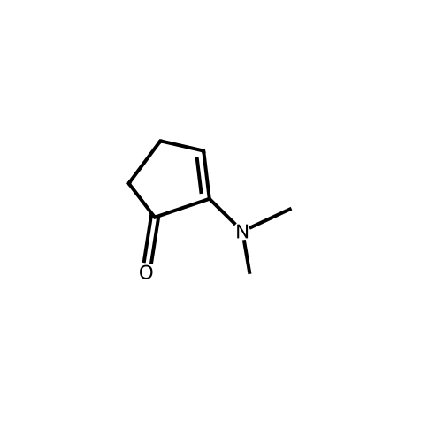 CN(C)C1=CCCC1=O